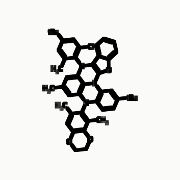 Cc1cc2c3c(c1)N(c1c(C)cc(C(C)(C)C)cc1C)c1c(oc4ccccc14)B3c1cc(C(C)(C)C)ccc1N2c1c(C)cc2c(c1C)OCCO2